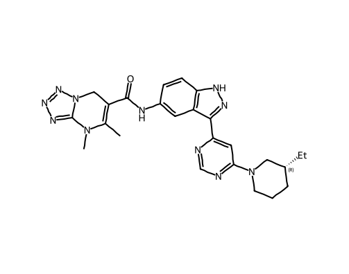 CC[C@@H]1CCCN(c2cc(-c3n[nH]c4ccc(NC(=O)C5=C(C)N(C)c6nnnn6C5)cc34)ncn2)C1